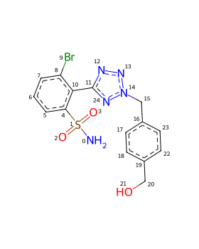 NS(=O)(=O)c1cccc(Br)c1-c1nnn(Cc2ccc(CO)cc2)n1